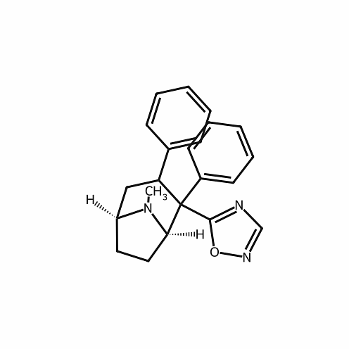 CN1[C@H]2CC[C@@H]1C(c1ccccc1)(c1ncno1)C(c1ccccc1)C2